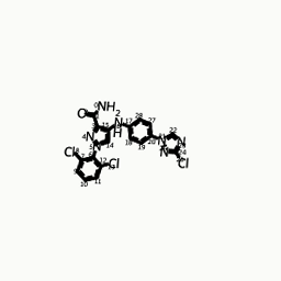 NC(=O)c1nn(-c2c(Cl)cccc2Cl)cc1Nc1ccc(-n2cnc(Cl)n2)cc1